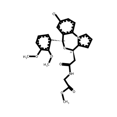 COC(=O)CNC(=O)C[C@H]1O[C@H](c2cccc(OC)c2OC)c2cc(Cl)ccc2-n2cccc21